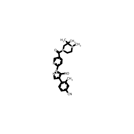 Cc1cc(C#N)ccc1-c1cnn(-c2ccc(C(=O)N3CCN(C)C(C)(C)C3)cn2)c1N=O